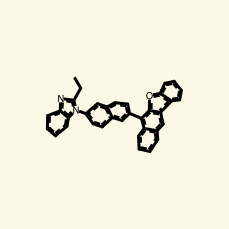 CCc1nc2ccccc2n1-c1ccc2cc(-c3c4ccccc4cc4c3oc3ccccc34)ccc2c1